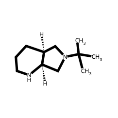 CC(C)(C)N1C[C@@H]2CCCN[C@@H]2C1